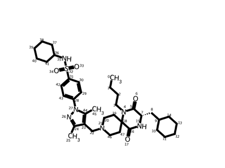 CCCCN1C(=O)[C@H](CC2CCCCC2)NC(=O)C12CCN(Cc1c(C)nn(-c3ccc(S(=O)(=O)NC4CCCCC4)cc3)c1C)CC2